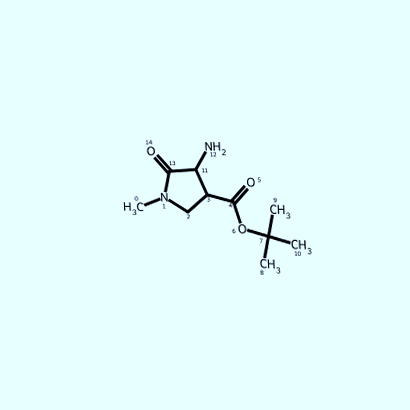 CN1CC(C(=O)OC(C)(C)C)C(N)C1=O